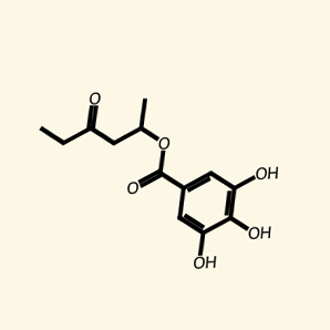 CCC(=O)CC(C)OC(=O)c1cc(O)c(O)c(O)c1